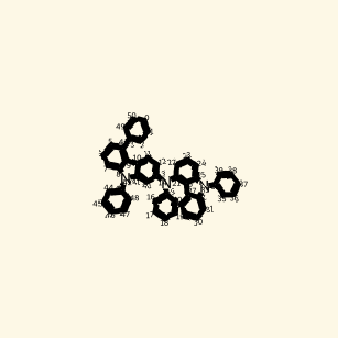 c1ccc(-c2cccc3c2c2ccc(N(c4ccccc4)c4cccc5c4c4ccccc4n5-c4ccccc4)cc2n3-c2ccccc2)cc1